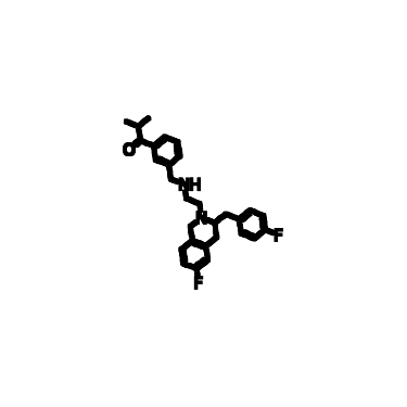 CC(C)C(=O)c1cccc(CNCCN2Cc3ccc(F)cc3CC2Cc2ccc(F)cc2)c1